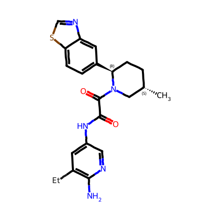 CCc1cc(NC(=O)C(=O)N2C[C@@H](C)CC[C@@H]2c2ccc3scnc3c2)cnc1N